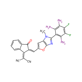 Cn1c(-c2c(P)c(F)c(F)c(P)c2P)nc2oc(/C=C3\C(=O)c4ccccc4C3=C(C#N)C#N)cc21